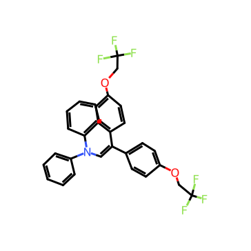 FC(F)(F)COc1ccc(C(=CN(c2ccccc2)c2ccccc2)c2ccc(OCC(F)(F)F)cc2)cc1